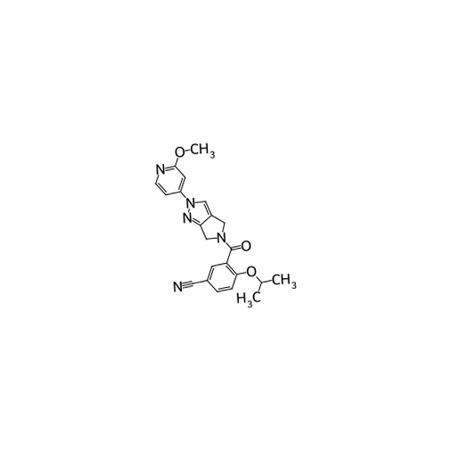 COc1cc(-n2cc3c(n2)CN(C(=O)c2cc(C#N)ccc2OC(C)C)C3)ccn1